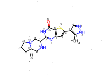 Cc1[nH]ncc1-c1cc2nc(C3CN4CCC[C@@H]4CN3)[nH]c(=O)c2s1